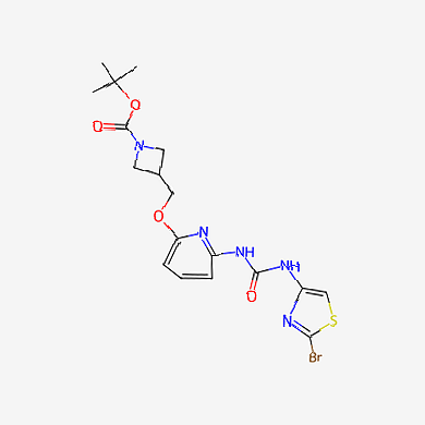 CC(C)(C)OC(=O)N1CC(COc2cccc(NC(=O)Nc3csc(Br)n3)n2)C1